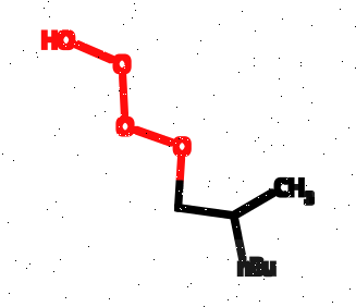 CCCCC(C)COOOO